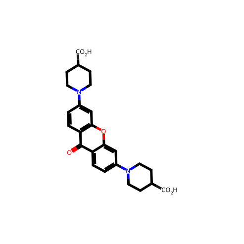 O=C(O)C1CCN(c2ccc3c(=O)c4ccc(N5CCC(C(=O)O)CC5)cc4oc3c2)CC1